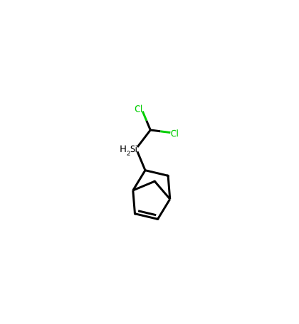 ClC(Cl)[SiH2]C1CC2C=CC1C2